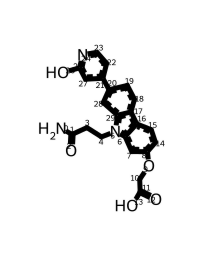 NC(=O)CCn1c2cc(OCC(=O)O)ccc2c2ccc(-c3ccnc(O)c3)cc21